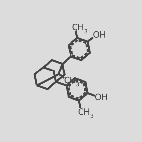 Cc1cc(C23CC4CC(C2)C(C)C(c2ccc(O)c(C)c2)(C4)C3)ccc1O